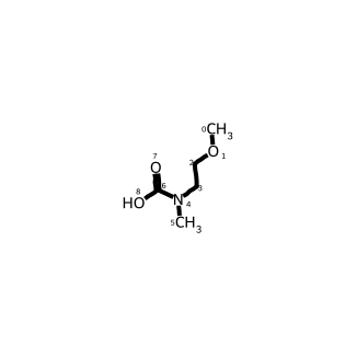 COCCN(C)C(=O)O